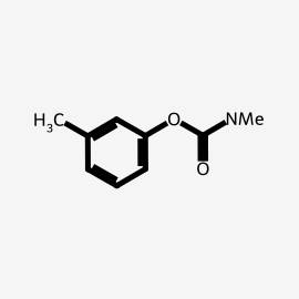 CNC(=O)Oc1cccc(C)c1